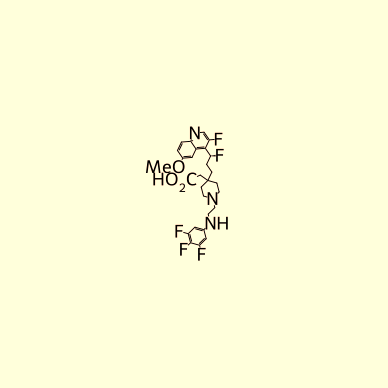 COc1ccc2ncc(F)c([C@@H](F)CCC3(CC(=O)O)CCN(CCNc4cc(F)c(F)c(F)c4)CC3)c2c1